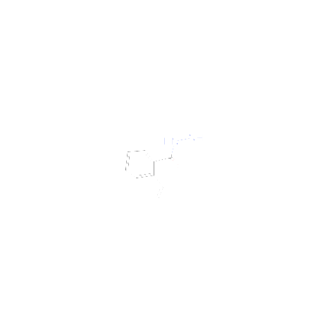 C=Cc1ccccc1C(=O)NN